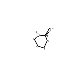 O=C1CC[C]CO1